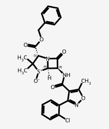 Cc1onc(-c2ccccc2Cl)c1C(=O)N[C@@H]1C(=O)N2[C@@H]1[S+]([O-])C(C)(C)[C@@H]2C(=O)OCc1ccccc1